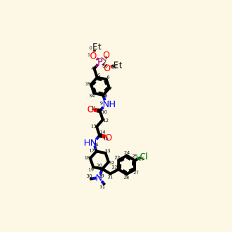 CCOP(=O)(Cc1ccc(NC(=O)CCC(=O)NC2CCC(Cc3ccc(Cl)cc3)(N(C)C)CC2)cc1)OCC